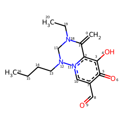 C=C1c2c(O)c(=O)c(C=O)cn2N(CCCC)CN1CC